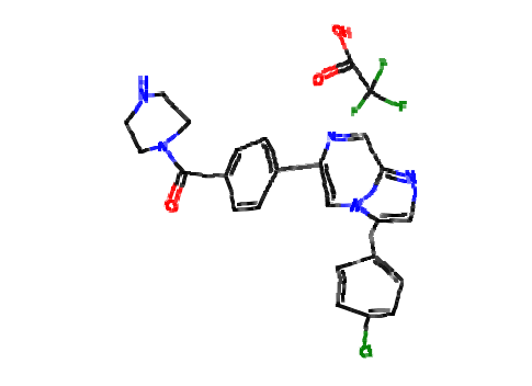 O=C(O)C(F)(F)F.O=C(c1ccc(-c2cn3c(-c4ccc(Cl)cc4)cnc3cn2)cc1)N1CCNCC1